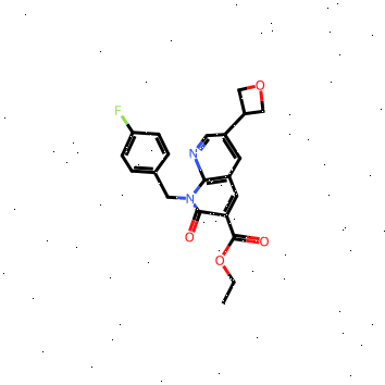 CCOC(=O)c1cc2cc(C3COC3)cnc2n(Cc2ccc(F)cc2)c1=O